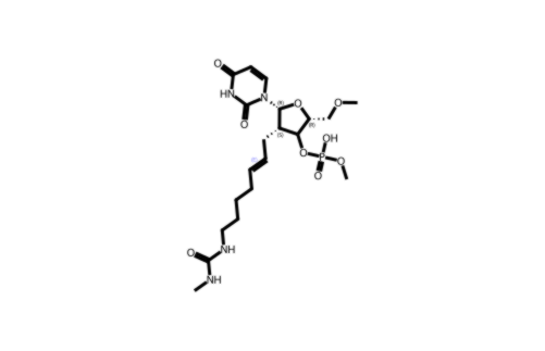 CNC(=O)NCCCC/C=C/C[C@H]1C(OP(=O)(O)OC)[C@@H](COC)O[C@H]1n1ccc(=O)[nH]c1=O